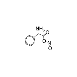 NC(C(=O)ON=O)c1ccccc1